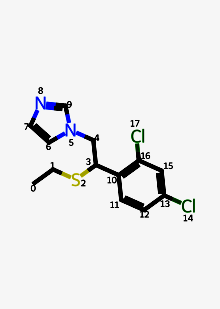 CCSC(Cn1ccnc1)c1ccc(Cl)cc1Cl